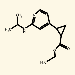 CCOC(=O)C1CC1c1ccnc(NC(C)C)c1